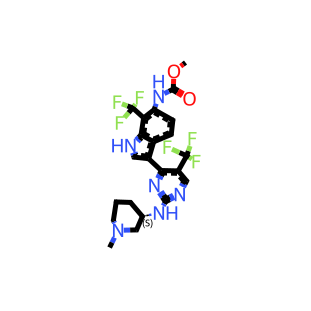 COC(=O)Nc1ccc2c(-c3nc(N[C@H]4CCCN(C)C4)ncc3C(F)(F)F)c[nH]c2c1C(F)(F)F